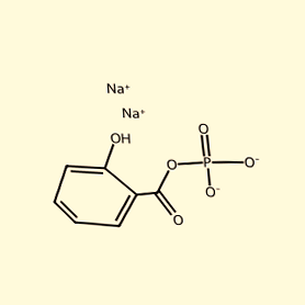 O=C(OP(=O)([O-])[O-])c1ccccc1O.[Na+].[Na+]